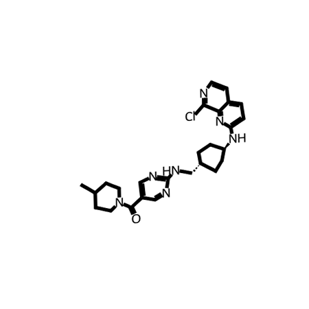 CC1CCN(C(=O)c2cnc(NC[C@H]3CC[C@H](Nc4ccc5ccnc(Cl)c5n4)CC3)nc2)CC1